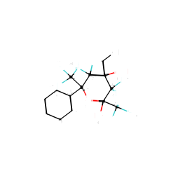 CCC1(O)C(F)(F)C(O)(C(F)(F)F)OC(C2CCCCC2)(C(F)(F)F)C1(F)F